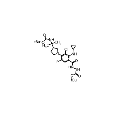 CC(C)(C)OC(=O)NNC(=O)c1cc(F)c(N2CCC(C(C)(C)NC(=O)OC(C)(C)C)C2)c(Cl)c1NC1CC1